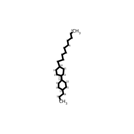 CCCCCCCCCCC1CCC(C2CCC(CCC)CC2)CC1